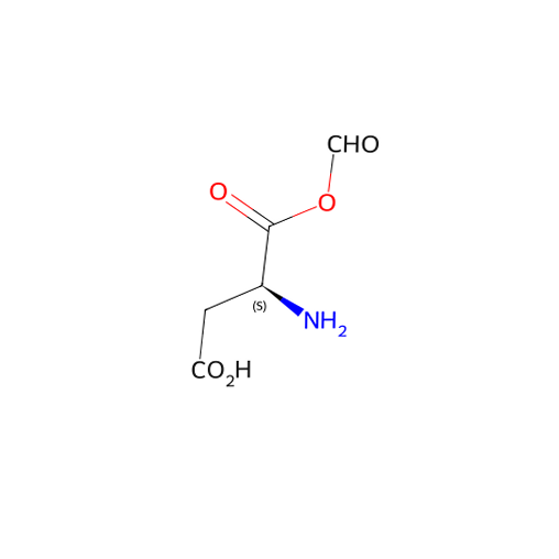 N[C@@H](CC(=O)O)C(=O)OC=O